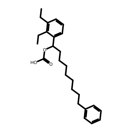 CCc1cccc(C(CCCCCCCCc2ccccc2)OC(=O)O)c1CC